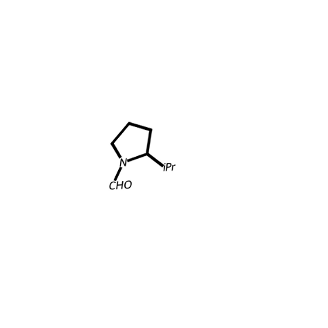 CC(C)C1CCCN1C=O